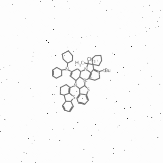 CC(C)(C)C1=C2C3=C(CC1)B1C4Sc5ccccc5C4N(C4=C5SC6C=CC=CC6C5CCC4)C4C=C(N(C5CC=CCC5)C5CCCCC5)CC(C14)N3C(C)(C)C21CCCCC1